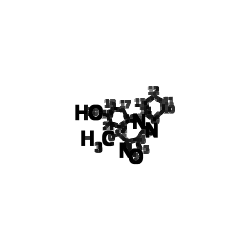 CCc1nocc1-c1nc2ccccc2n1-c1ccc(O)cc1